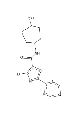 CCc1nc(-c2ncccn2)sc1C(=O)NC1CCC(C(C)(C)C)CC1